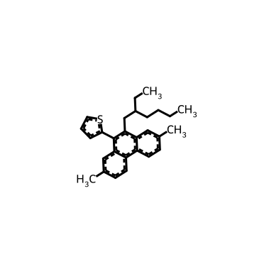 CCCCC(CC)Cc1c(-c2cccs2)c2cc(C)ccc2c2ccc(C)cc12